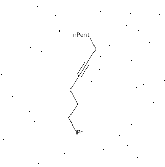 CCCCCCC#CCCCC(C)C